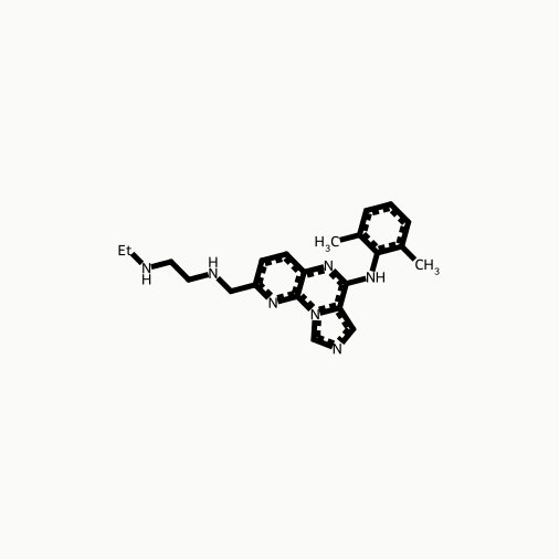 CCNCCNCc1ccc2nc(Nc3c(C)cccc3C)c3cncn3c2n1